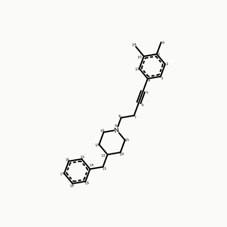 Cc1ccc(C#CCCN2CCC(Cc3ccccc3)CC2)cc1C